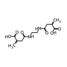 C=C(CC(=O)NCCNC(=O)CC(=C)C(=O)O)C(=O)O